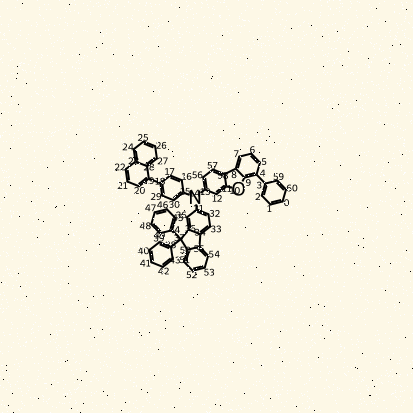 c1ccc(-c2cccc3c2oc2cc(N(c4ccc(-c5cccc6ccccc56)cc4)c4ccc5c(c4)C(c4ccccc4)(c4ccccc4)c4ccccc4-5)ccc23)cc1